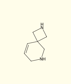 C1=CC2(CNC1)CNC2